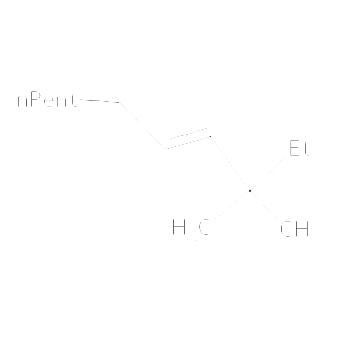 CCCCCCC=CC(C)(C)CC